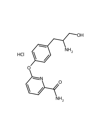 Cl.NC(=O)c1cccc(Oc2ccc(CC(N)CO)cc2)n1